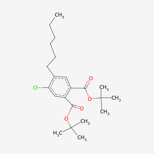 CCCCCCc1cc(C(=O)OC(C)(C)C)c(C(=O)OC(C)(C)C)cc1Cl